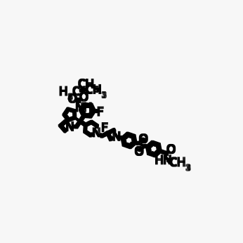 CNC(=O)c1ccc(S(=O)(=O)c2ccc(N3CC(F)(CN4CCC(C(CN5CCC5)(c5cccc(F)c5)[C@H]5CCC[C@@H]5NC(=O)OC(C)(C)C)CC4)C3)cc2)cc1